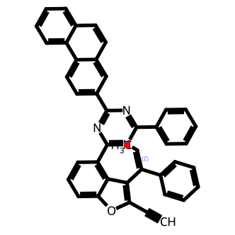 C#Cc1oc2cccc(-c3nc(-c4ccccc4)nc(-c4ccc5c(ccc6ccccc65)c4)n3)c2c1/C(=C\C)c1ccccc1